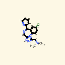 CN(C)Cc1nnc2n1-c1ccc(Cl)cc1C(c1ccccn1)=NC2